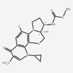 CC(C)(C)OC(=O)N[C@@H]1CCN2c3c(F)cc4c(=O)c(C(=O)O)cn(C5CC5)c4c3SC[C@H]12